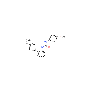 COCc1ccc(-c2ccccc2NC(=O)Nc2ccc(OC(F)(F)F)cc2)cc1